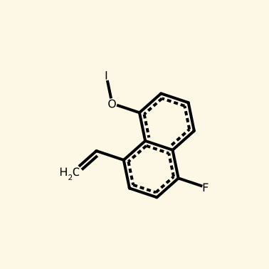 C=Cc1ccc(F)c2cccc(OI)c12